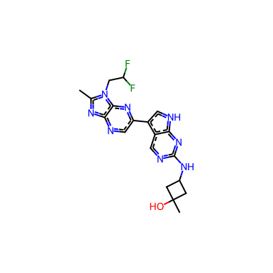 Cc1nc2ncc(-c3c[nH]c4nc(NC5CC(C)(O)C5)ncc34)nc2n1CC(F)F